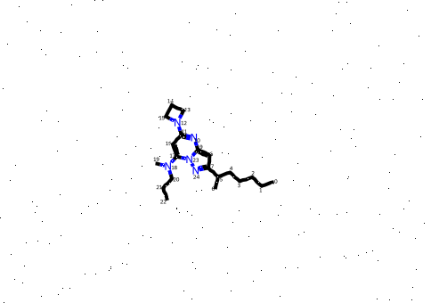 CCCCCC(C)c1cc2nc(N3CCC3)cc(N(C)CCC)n2n1